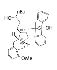 CCCCC(O)CC[C@H]1[C@H](CC(C)(C)[Si](O)(c2ccccc2)c2ccccc2)C[C@@H]2Cc3c(cccc3OC)C[C@@H]21